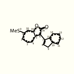 CSc1cccc2c(C3=CCc4ccccc43)c(=O)oc-2c1